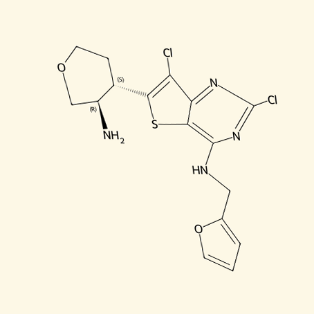 N[C@H]1COCC[C@@H]1c1sc2c(NCc3ccco3)nc(Cl)nc2c1Cl